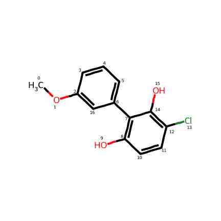 COc1cccc(-c2c(O)ccc(Cl)c2O)c1